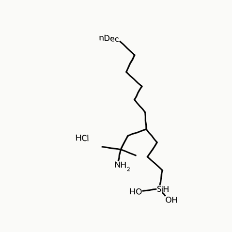 CCCCCCCCCCCCCCCC(CCC[SiH](O)O)CC(C)(C)N.Cl